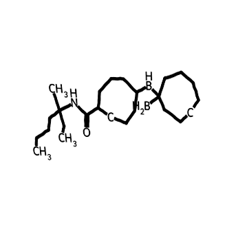 BC1(BC2CCCC(C(=O)NC(C)(CC)CCCC)CCC2)CCCCCCC1